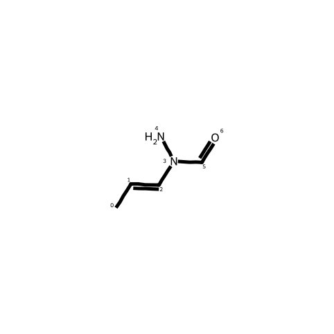 CC=CN(N)C=O